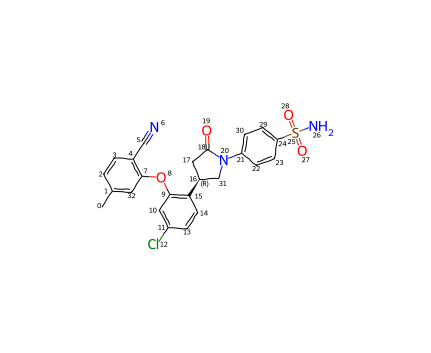 Cc1ccc(C#N)c(Oc2cc(Cl)ccc2[C@H]2CC(=O)N(c3ccc(S(N)(=O)=O)cc3)C2)c1